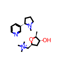 CN1CCC[C@H]1c1cccnc1.C[C@@H]1O[C@H](C[N+](C)(C)C)C[C@H]1O